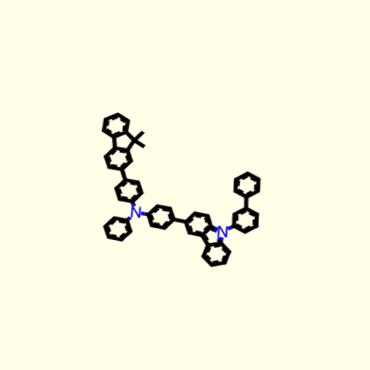 CC1(C)c2ccccc2-c2ccc(-c3ccc(N(c4ccccc4)c4ccc(-c5ccc6c(c5)c5ccccc5n6-c5cccc(-c6ccccc6)c5)cc4)cc3)cc21